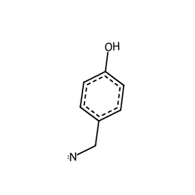 [N]Cc1ccc(O)cc1